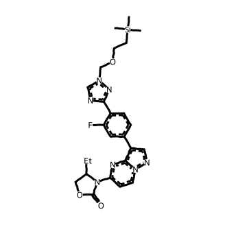 CCC1COC(=O)N1c1ccn2ncc(-c3ccc(-c4ncn(COCC[Si](C)(C)C)n4)c(F)c3)c2n1